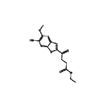 CCOC(=O)CCC(=O)c1cc2cc(OC)c(O)cc2s1